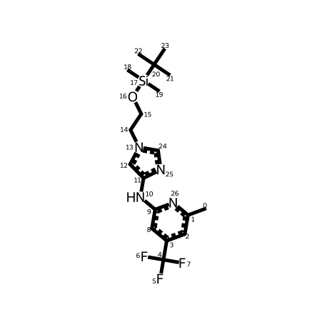 Cc1cc(C(F)(F)F)cc(Nc2cn(CCO[Si](C)(C)C(C)(C)C)cn2)n1